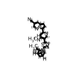 CNc1cc(-c2ccc3cc(C#N)cnn23)ncc1-c1nnc(N2C[C@H]3C[C@@H](C2)[C@@H]3NC(C)=O)s1